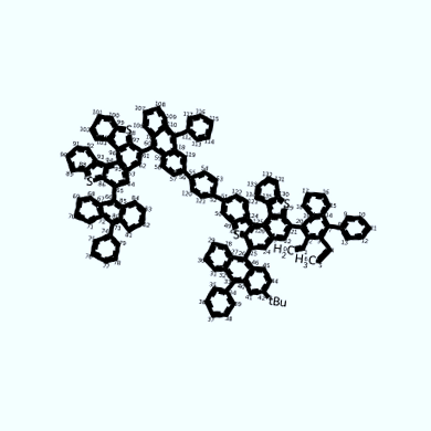 C=Cc1c(/C=C\C)c(-c2ccccc2)c2ccccc2c1-c1cc2cc(-c3c4ccccc4c(-c4ccccc4)c4cc(C(C)(C)C)ccc34)c3sc4cc(-c5ccc(-c6ccc7c(-c8cc9cc(-c%10c%11ccccc%11c(-c%11ccccc%11)c%11ccccc%10%11)c%10sc%11ccccc%11c%10c9c9c8sc8ccccc89)c8ccccc8c(-c8ccccc8)c7c6)cc5)ccc4c3c2c2c1sc1ccccc12